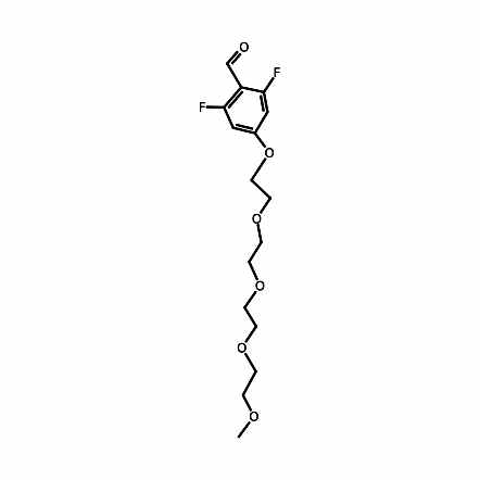 COCCOCCOCCOCCOc1cc(F)c(C=O)c(F)c1